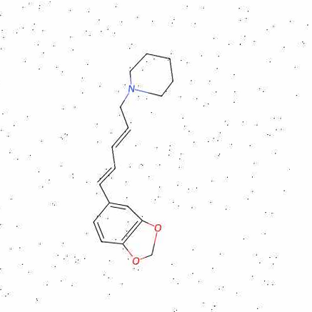 C(C=Cc1ccc2c(c1)OCO2)=CCN1CCCCC1